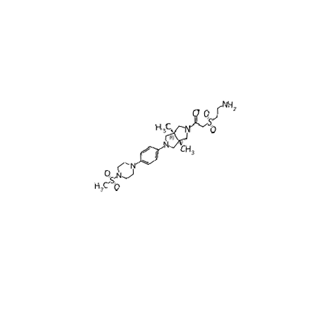 C[C@@]12CN(C(=O)CS(=O)(=O)CCN)C[C@]1(C)CN(c1ccc(N3CCN(S(C)(=O)=O)CC3)cc1)C2